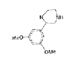 COc1cc(OC)cc(C2CNCC[N]2)c1